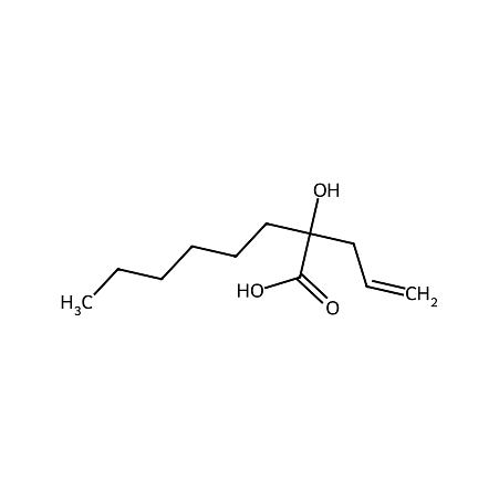 C=CCC(O)(CCCCCC)C(=O)O